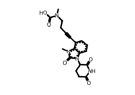 CN(CCC#Cc1cccc2c1n(C)c(=O)n2C1CCC(=O)NC1=O)C(=O)O